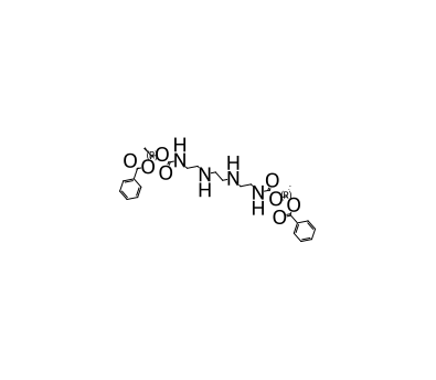 C[C@@H](OC(=O)NCCNCCNCCNC(=O)O[C@H](C)OC(=O)c1ccccc1)OC(=O)c1ccccc1